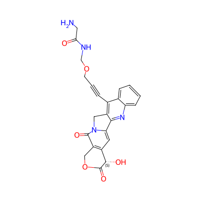 NCC(=O)NCOCC#Cc1c2c(nc3ccccc13)-c1cc3c(c(=O)n1C2)COC(=O)[C@H]3O